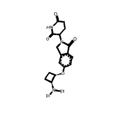 CCN(CC)[C@H]1CC[C@H]1Oc1ccc2c(c1)CN(C1CCC(=O)NC1=O)C2=O